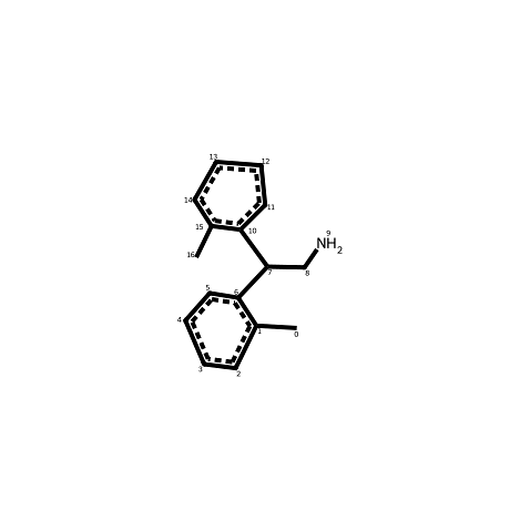 Cc1ccccc1C(CN)c1ccccc1C